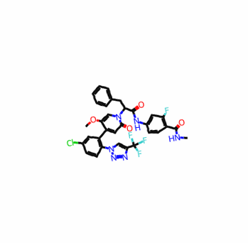 CNC(=O)c1ccc(NC(=O)C(Cc2ccccc2)n2cc(OC)c(-c3cc(Cl)ccc3-n3cc(C(F)(F)F)nn3)cc2=O)cc1F